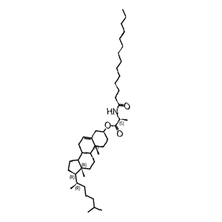 CCCCCCCCCCCCCC(=O)N[C@@H](C)C(=O)OC1CC[C@@]2(C)C(=CCC3C2CC[C@@]2(C)C3CC[C@@H]2[C@H](C)CCCC(C)C)C1